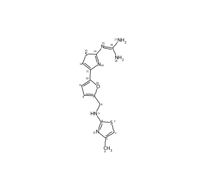 Cc1csc(NCc2ccc(-c3csc(N=C(N)N)n3)o2)n1